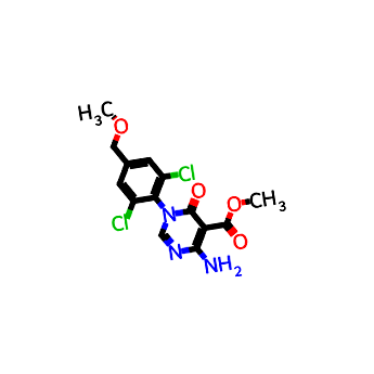 COCc1cc(Cl)c(-n2cnc(N)c(C(=O)OC)c2=O)c(Cl)c1